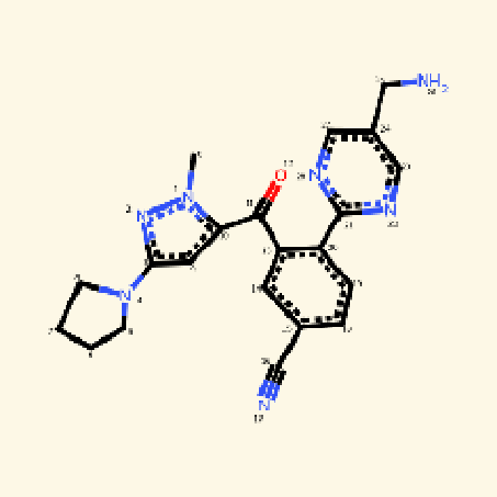 Cn1nc(N2CCCC2)cc1C(=O)c1cc(C#N)ccc1-c1ncc(CN)cn1